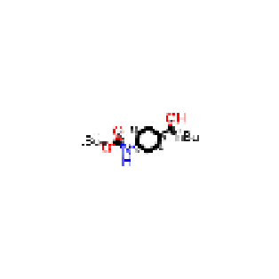 CCCCC(O)[C@H]1CC[C@H](NC(=O)OC(C)(C)C)CC1